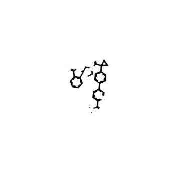 CCN(CC)C(=O)c1ccc(-c2ccc(C3(C(=O)N4CC[C@@]5(C4)OC(=O)c4ccccc45)CC3)cc2)cn1